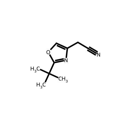 CC(C)(C)c1nc(CC#N)co1